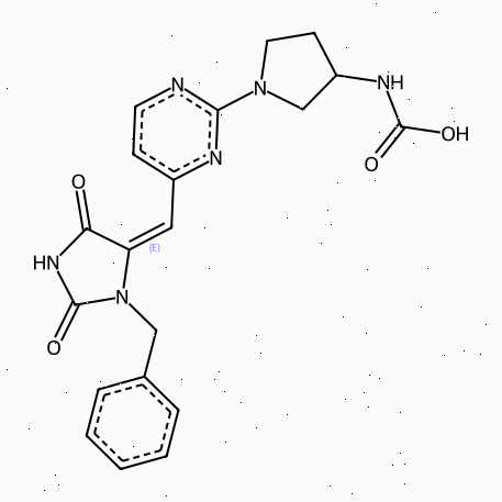 O=C(O)NC1CCN(c2nccc(/C=C3\C(=O)NC(=O)N3Cc3ccccc3)n2)C1